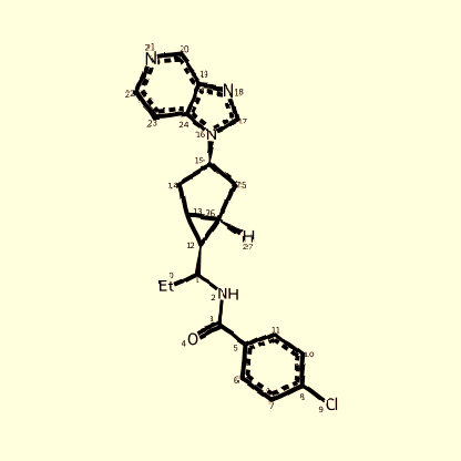 CCC(NC(=O)c1ccc(Cl)cc1)[C@H]1C2C[C@@H](n3cnc4cnccc43)C[C@@H]21